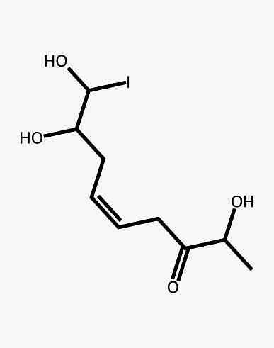 CC(O)C(=O)C/C=C\CC(O)C(O)I